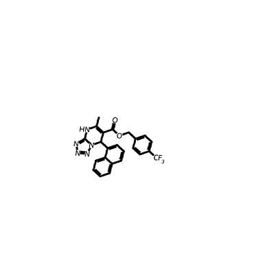 CC1=C(C(=O)OCc2ccc(C(F)(F)F)cc2)C(c2cccc3ccccc23)n2nnnc2N1